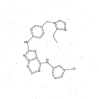 CCc1nccn1Cc1ccc(Nc2nc3ncnc(Nc4cccc(Cl)c4)c3s2)cc1